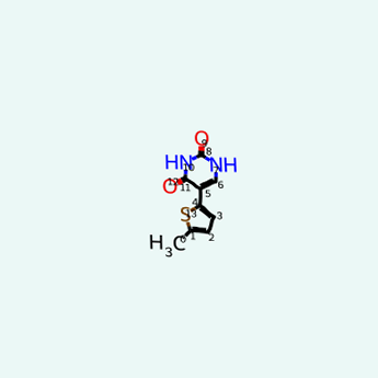 Cc1ccc(-c2c[nH]c(=O)[nH]c2=O)s1